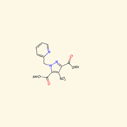 COC(=O)c1nn(Cc2ccccn2)c(C(=O)OC)c1[N+](=O)[O-]